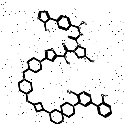 CC(C)[C@@H](C(=O)N1C[C@H](O)C[C@H]1C(=O)N[C@@H](C)c1ccc(-c2ccnn2C)cc1)c1cc(N2CCC(CN3CCC(OC4CC(N5CCOC6(CCN(c7cc(-c8ccccc8O)nnc7N)CC6)C5)C4)CC3)CC2)no1